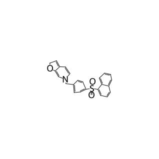 O=S(=O)(c1ccc(CN2C=CC3=CCOC3=C2)cc1)c1cccc2ccccc12